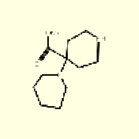 COC(=O)C1(N2CCCCC2)CCNCC1